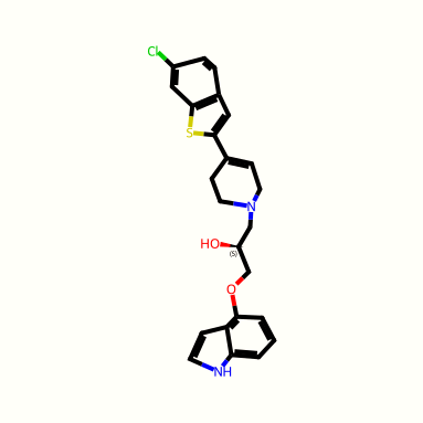 O[C@H](COc1cccc2[nH]ccc12)CN1CC=C(c2cc3ccc(Cl)cc3s2)CC1